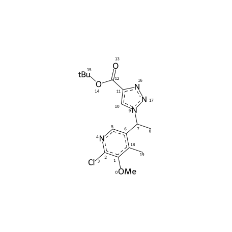 COc1c(Cl)ncc(C(C)n2cc(C(=O)OC(C)(C)C)nn2)c1C